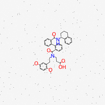 COc1ccc(OC)c(CCN(CCC(=O)O)C(=O)c2ccccc2-c2ccccc2C(=O)NC2CCCc3ccccc32)c1